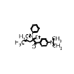 C=CCC(CC)(C(=O)c1ccc(N(C)C)cc1)N(C)c1ccccc1